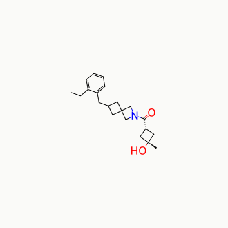 CCc1ccccc1CC1CC2(C1)CN(C(=O)[C@H]1C[C@@](C)(O)C1)C2